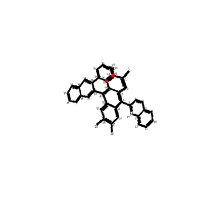 Cc1cc2c(-c3ccc4ccccc4n3)c3cc(C)c(C)cc3c(-c3cc4ccccc4cc3-c3ccccc3)c2cc1C